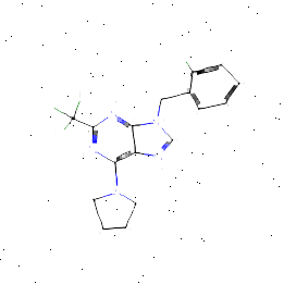 Fc1ccccc1Cn1cnc2c(N3CCCC3)nc(C(F)(F)F)nc21